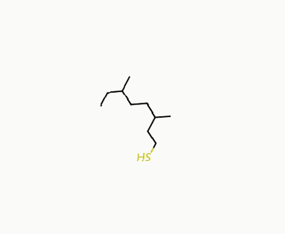 CCC(C)CCC(C)CCS